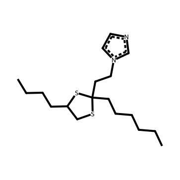 CCCCCCC1(CCn2ccnc2)SCC(CCCC)S1